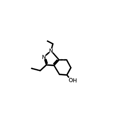 CCc1nn(CC)c2c1CC(O)CC2